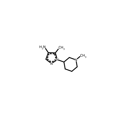 Cc1c(N)cnn1C1CCCN(C)C1